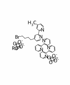 Cc1ccnc(-c2cc(CCCCBr)ccn2)c1.[O-][Cl+3]([O-])([O-])[O-].[O-][Cl+3]([O-])([O-])[O-].[Ru+2].c1ccc(-c2ccccn2)nc1.c1ccc(-c2ccccn2)nc1